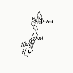 CC(F)(F)CN(Cc1nc2ccc(-c3ccc4c(ccc5nc([C@@H]6CCCN6C(=O)OC(C)(C)C)[nH]c54)c3)cc2[nH]1)C(=O)OC(C)(C)C